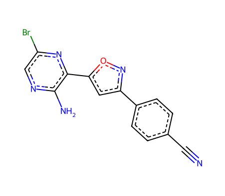 N#Cc1ccc(-c2cc(-c3nc(Br)cnc3N)on2)cc1